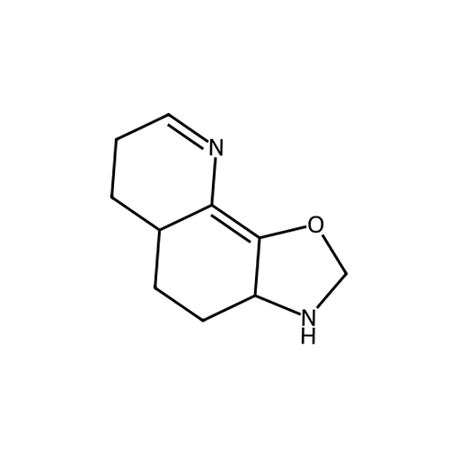 C1=NC2=C3OCNC3CCC2CC1